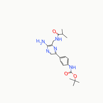 CC(C)C(=O)NCc1nc(-c2ccc(NC(=O)OC(C)(C)C)cc2)cnc1N